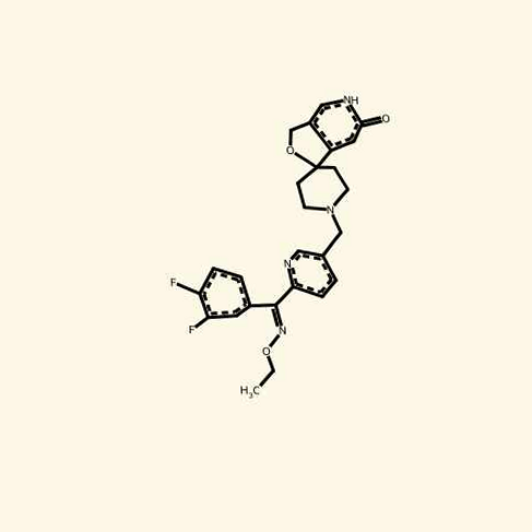 CCON=C(c1ccc(F)c(F)c1)c1ccc(CN2CCC3(CC2)OCc2c[nH]c(=O)cc23)cn1